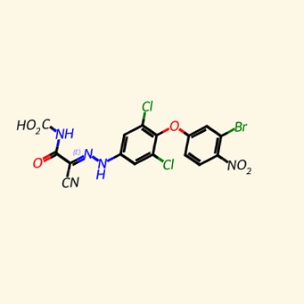 N#C/C(=N\Nc1cc(Cl)c(Oc2ccc([N+](=O)[O-])c(Br)c2)c(Cl)c1)C(=O)NC(=O)O